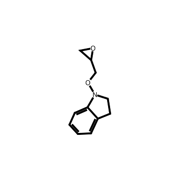 c1ccc2c(c1)CCN2OCC1CO1